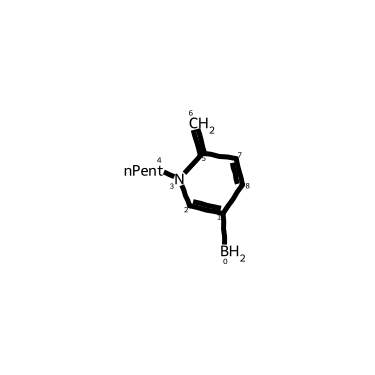 BC1=CN(CCCCC)C(=C)C=C1